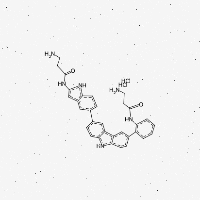 Cl.Cl.NCCC(=O)Nc1cc2cc(-c3ccc4[nH]c5ccc(-c6ccccc6NC(=O)CCN)cc5c4c3)ccc2[nH]1